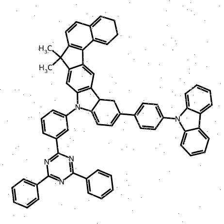 CC1(C)c2cc3c(cc2-c2c1ccc1c2=CCCC=1)C1CC(c2ccc(-n4c5ccccc5c5ccccc54)cc2)=CC=C1N3c1cccc(-c2nc(-c3ccccc3)nc(-c3ccccc3)n2)c1